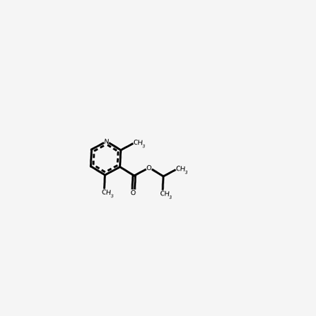 Cc1ccnc(C)c1C(=O)OC(C)C